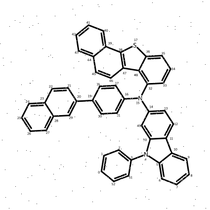 c1ccc(-n2c3ccccc3c3ccc(N(c4ccc(-c5ccc6ccccc6c5)cc4)c4cccc5sc6c7ccccc7ccc6c45)cc32)cc1